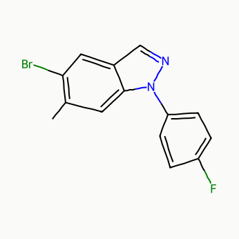 Cc1cc2c(cnn2-c2ccc(F)cc2)cc1Br